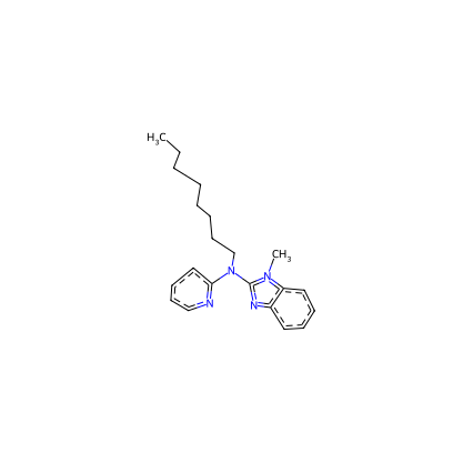 CCCCCCCCN(c1ccccn1)c1nc2ccccc2n1C